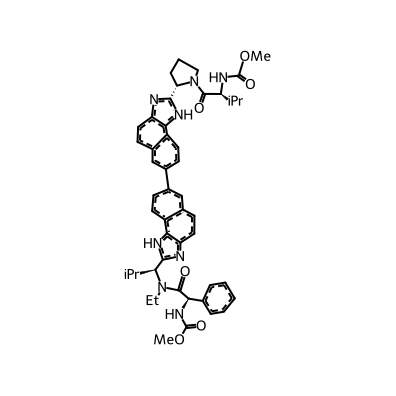 CCN(C(=O)[C@H](NC(=O)OC)c1ccccc1)[C@H](c1nc2ccc3cc(-c4ccc5c(ccc6nc([C@@H]7CCCN7C(=O)[C@@H](NC(=O)OC)C(C)C)[nH]c65)c4)ccc3c2[nH]1)C(C)C